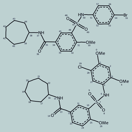 COc1cc(OC)c(NS(=O)(=O)c2cc(C(=O)NC3CCCCCC3)ccc2OC)cc1Cl.COc1ccc(C(=O)NC2CCCCCC2)cc1S(=O)(=O)Nc1ccc(Br)cc1